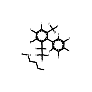 CCCCNC.Fc1c(F)c(F)c(-c2c(C(F)(F)F)c(F)c(F)c(F)c2C(F)(F)C(F)(F)F)c(F)c1F